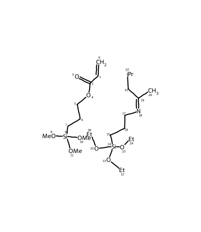 C=CC(=O)OCCC[Si](OC)(OC)OC.CCO[Si](CCCN=C(C)CC(C)C)(OCC)OCC